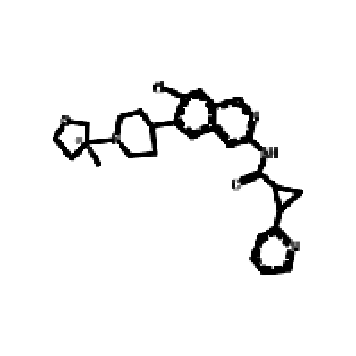 C[C@@]1(N2CCC(c3cc4cc(NC(=O)C5CC5c5ccccn5)ncc4cc3Cl)CC2)CCOC1